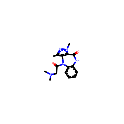 Cc1nn(C)c2c1N(C(=O)CN(C)C)c1ccccc1NC2=O